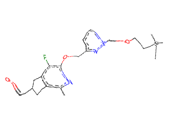 Cc1nc(OCc2ccn(COCC[Si](C)(C)C)n2)c(F)c2c1CC(C=O)C2